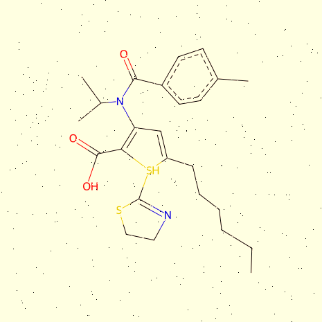 CCCCCCC1=CC(N(C(=O)c2ccc(C)cc2)C(C)C)=C(C(=O)O)[SH]1C1=NCCS1